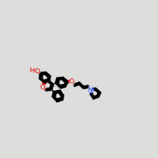 Oc1ccc2c(c1)OC[C@H](c1ccccc1)[C@H]2c1ccc(OCCCCN2CCCCC2)cc1